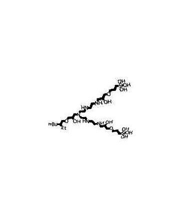 CCCCC(CC)COCC(O)CN(CCNCCNCC(O)COCCC[Si](O)(O)O)CCNCCNCC(O)COCCC[Si](O)(O)O